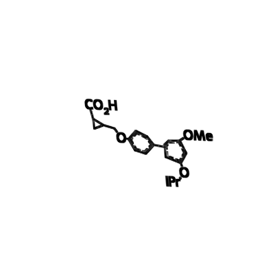 COc1cc(OC(C)C)cc(-c2ccc(OCC3CC3C(=O)O)cc2)c1